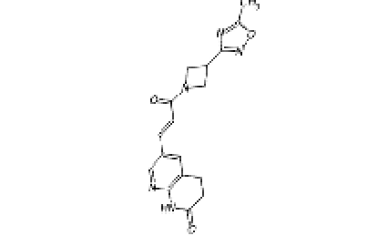 Cc1nc(C2CN(C(=O)C=Cc3cnc4c(c3)CCC(=O)N4)C2)no1